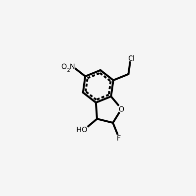 O=[N+]([O-])c1cc(CCl)c2c(c1)C(O)C(F)O2